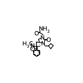 CN(C)[C@]1(c2ccccc2)C[C@@]2(CN(CC(N)=O)C(=O)N2CC2CCC2)C1